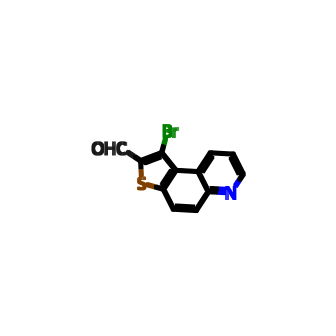 O=Cc1sc2ccc3ncccc3c2c1Br